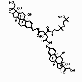 COC(C)(C)COC(C)(C)CCNC(=O)C(O)(CC(=O)N/N=C1\C=C[C@@]2(C)C(=C1)CC[C@H]1[C@@H]3C[C@@H](C)[C@](O)(C(=O)CO)[C@@]3(C)C[C@H](O)[C@@]12F)CC(=O)N/N=C1\C=C[C@@]2(C)C(=C1)CC[C@H]1[C@@H]3C[C@@H](C)[C@](O)(C(=O)CO)[C@@]3(C)C[C@H](O)[C@@]12F